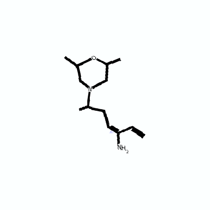 C=C/C(N)=C\CC(C)N1CC(C)OC(C)C1